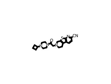 N#Cc1ccc2c3c(sc2n1)CN(CC(=O)N1CCN(C2CCC2)CC1)CC3